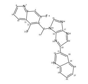 CC(c1c(F)cc2ncccc2c1F)n1cnc2ncc(-c3cnc4ccccc4c3)nc21